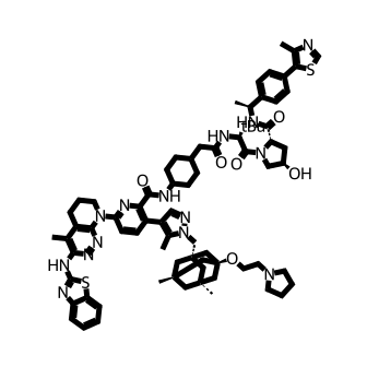 Cc1ncsc1-c1ccc([C@H](C)NC(=O)[C@@H]2C[C@@H](O)CN2C(=O)[C@@H](NC(=O)CC2CCC(NC(=O)c3nc(N4CCCc5c4nnc(Nc4nc6ccccc6s4)c5C)ccc3-c3cnn(C[C@]45C[C@]6(C)C[C@](C)(C4)C[C@@](OCCN4CCCC4)(C6)C5)c3C)CC2)C(C)(C)C)cc1